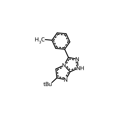 Cc1cccc(-c2n[nH]c3nc(C(C)(C)C)cn23)c1